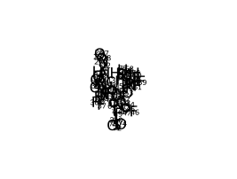 CC(C)(C#Cc1ccc(-c2ccc(Cl)c3c(N(CC(=O)NCCN4CCOCC4)[SH](=O)=O)nn(CC(F)(F)F)c23)c(C(Cc2cc(F)cc(F)c2)NC(=O)Cn2nc(C(F)(F)F)c3c2C(F)(F)[C@@H]2C[C@H]32)n1)S(C)(=O)=O